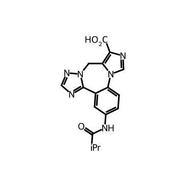 CC(C)C(=O)Nc1ccc2c(c1)-c1ncnn1Cc1c(C(=O)O)ncn1-2